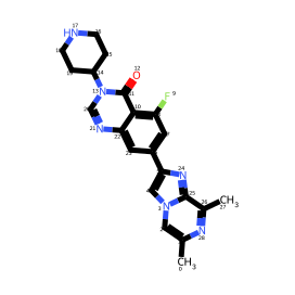 Cc1cn2cc(-c3cc(F)c4c(=O)n(C5CCNCC5)cnc4c3)nc2c(C)n1